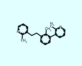 Cc1ncccc1CCc1cccc(-c2cccnc2C)c1C